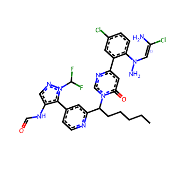 CCCCCC(c1cc(-c2c(NC=O)cnn2C(F)F)ccn1)n1cnc(-c2cc(Cl)ccc2N(N)/C=C(\N)Cl)cc1=O